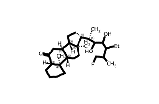 CCC(C(C)CF)C(O)C(O)[C@@H](C)[C@H]1CC[C@H]2[C@@H]3CC(=O)[C@H]4CCCC[C@]4(C)[C@H]3CC[C@]12C